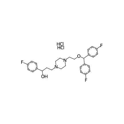 Cl.Cl.OC(CCN1CCN(CCOC(c2ccc(F)cc2)c2ccc(F)cc2)CC1)c1ccc(F)cc1